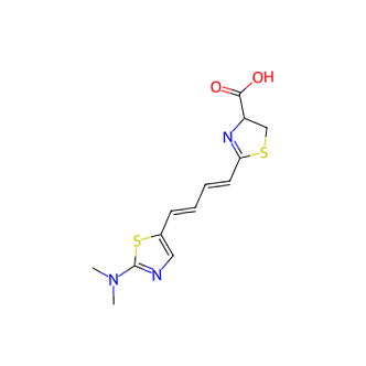 CN(C)c1ncc(/C=C/C=C/C2=NC(C(=O)O)CS2)s1